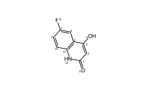 O=c1cc(O)c2cc(F)ccc2[nH]1